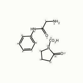 NCC(=O)Nc1ccccc1.O=C(O)N1CCCC1=O